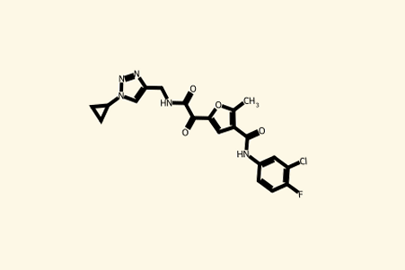 Cc1oc(C(=O)C(=O)NCc2cn(C3CC3)nn2)cc1C(=O)Nc1ccc(F)c(Cl)c1